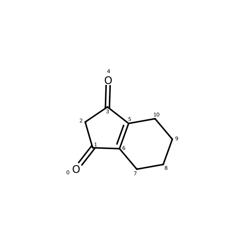 O=C1CC(=O)C2=C1CCCC2